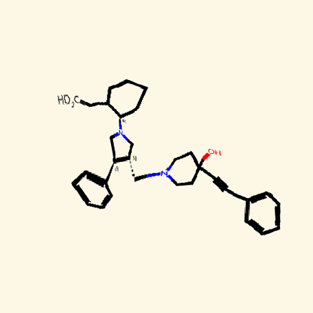 O=C(O)CC1CCCC[C@H]1N1C[C@H](CN2CCC(O)(C#Cc3ccccc3)CC2)[C@@H](c2ccccc2)C1